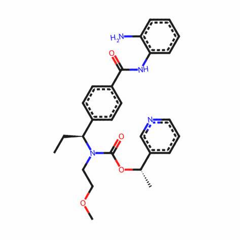 CC[C@@H](c1ccc(C(=O)Nc2ccccc2N)cc1)N(CCOC)C(=O)O[C@@H](C)c1cccnc1